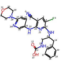 N#Cc1cc(F)c(NC(CNC(=O)O)Cc2ccccc2)nc1Nc1ccc(N2CCOCC2)nc1